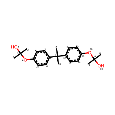 CC(C)(O)Oc1ccc(C(C)(C)c2ccc(OC(C)(C)O)cc2)cc1